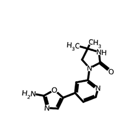 CC1(C)CN(c2cc(-c3cnc(N)o3)ccn2)C(=O)N1